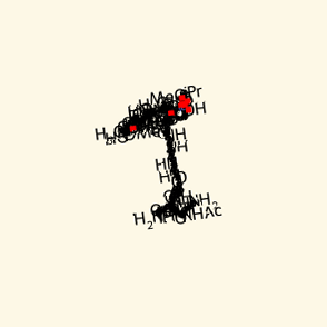 CCN(CC(=O)NCCCNCCCCNCCCNC(=O)OCc1ccc(NC(=O)[C@H](CCCNC(N)=O)NC(=O)[C@@H](NC(=O)[C@H](CCCCN)NC(C)=O)C(C)C)cc1)[C@H]1CO[C@@H](O[C@H]2[C@H](O[C@H]3C#CC=CC#C[C@]4(O)CC(=O)C(NC(=O)OC)=C3/C4=C\CSSC(C)C)O[C@H](C)[C@@H](NO[C@H]3C[C@H](O)[C@H](SC(=O)c4c(C)c(I)c(O[C@@H]5O[C@@H](C)[C@H](O)[C@@H](OC)[C@H]5O)c(OC)c4OC)[C@@H](C)O3)[C@@H]2O)C[C@@H]1OC